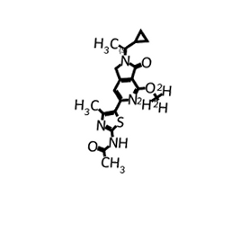 [2H]C([2H])([2H])Oc1nc(-c2sc(NC(C)=O)nc2C)cc2c1C(=O)N([C@@H](C)C1CC1)C2